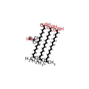 CC(C)CCCCCCCCCCCCCCC(=O)O.CC(C)CCCCCCCCCCCCCCC(=O)O.CC(C)CCCCCCCCCCCCCCC(=O)O.CC(C)O.[Ti]